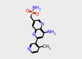 Cc1ccncc1-c1cc(N)c2ncc(CS(N)(=O)=O)cc2n1